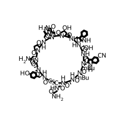 CCCC[C@H]1C(=O)N(C)[C@@H](CCCC)C(=O)N[C@@H](C)C(=O)N[C@H](C(=O)NCC(N)=O)CSCC(=O)N[C@@H](Cc2ccc(O)cc2)C(=O)N(C)[C@@H](C)C(=O)N[C@@H](CC(N)=O)C(=O)N2CCCC2C(=O)N[C@@H](Cc2cnc[nH]2)C(=O)N[C@@H](CCC(N)=O)C(=O)N2C[C@H](O)C[C@H]2C(=O)N[C@@H](Cc2c[nH]c3ccccc23)C(=O)N[C@@H](CO)C(=O)N[C@@H](Cc2c[nH]c3ccc(C#N)cc23)C(=O)N1C